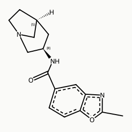 Cc1nc2cc(C(=O)N[C@@H]3C[C@@H]4CCN(C4)C3)ccc2o1